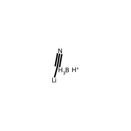 B.[H+].[Li][C]#N